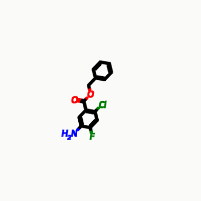 Nc1cc(C(=O)OCc2ccccc2)c(Cl)cc1F